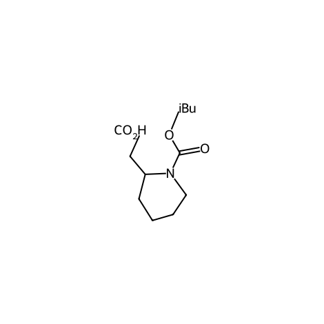 CCC(C)OC(=O)N1CCCCC1CC(=O)O